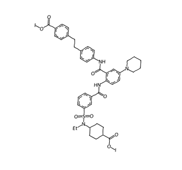 CCN(C1CCC(C(=O)OI)CC1)S(=O)(=O)c1cccc(C(=O)Nc2ccc(N3CCCCC3)cc2C(=O)Nc2ccc(CCc3ccc(C(=O)OI)cc3)cc2)c1